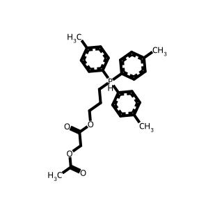 CC(=O)OCC(=O)OCCC[PH](c1ccc(C)cc1)(c1ccc(C)cc1)c1ccc(C)cc1